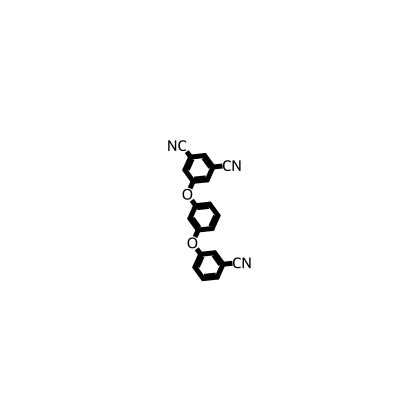 N#Cc1cccc(Oc2cccc(Oc3cc(C#N)cc(C#N)c3)c2)c1